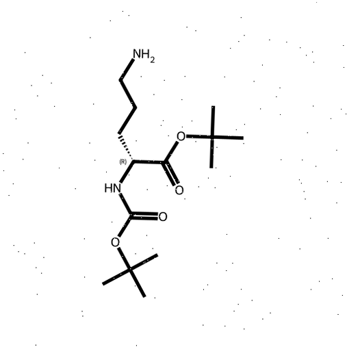 CC(C)(C)OC(=O)N[C@H](CCCN)C(=O)OC(C)(C)C